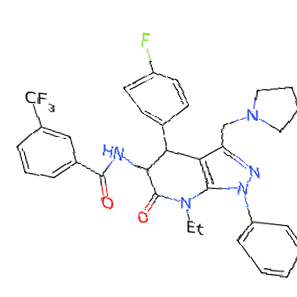 CCN1C(=O)C(NC(=O)c2cccc(C(F)(F)F)c2)C(c2ccc(F)cc2)c2c(CN3CCCC3)nn(-c3ccccc3)c21